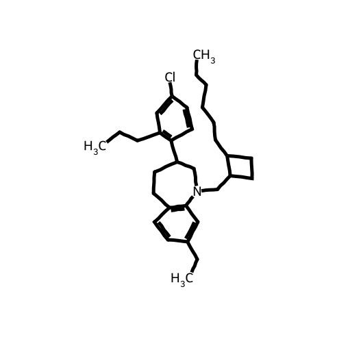 CCCCCCC1CCC1CN1CC(c2ccc(Cl)cc2CCC)CCc2ccc(CC)cc21